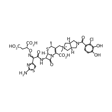 C[C@@H]1S[C@@H]2[C@H](NC(=O)/C(=N\O[C@@H](CC(=O)O)C(=O)O)c3csc(N)n3)C(=O)N2C(C(=O)O)=C1C[N+]1(C)C[C@H]2CN(C(=O)c3ccc(O)c(O)c3Cl)C[C@H]2C1